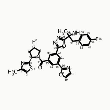 Cc1csc([C@H]2C[C@H](F)CN2C(=O)c2cc(-c3ncco3)cc(-c3nnc(C(C)(N)Cc4ccc(F)cc4)o3)c2)n1